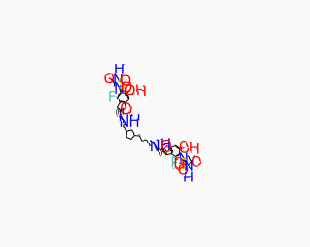 O=C1CN(c2c(O)cc3c(c2F)C[C@H](CNCCCCC2CCC(CNC[C@H]4Cc5c(cc(O)c(N6CC(=O)NS6(=O)=O)c5F)O4)C2)O3)S(=O)(=O)N1